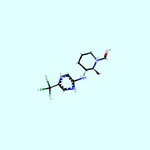 C[C@H]1[C@H](Nc2cnc(C(F)(F)F)cn2)CCCN1C=O